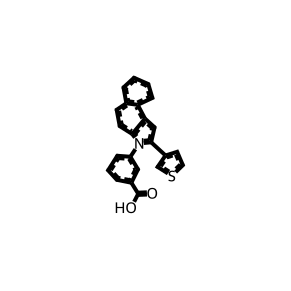 O=C(O)c1cccc(-n2c(-c3ccsc3)cc3c4ccccc4ccc32)c1